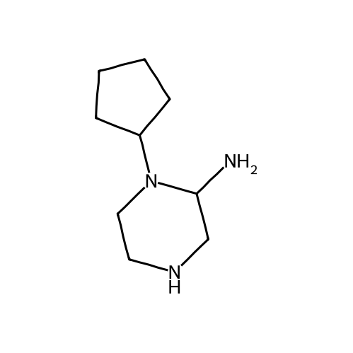 NC1CNCCN1C1CCCC1